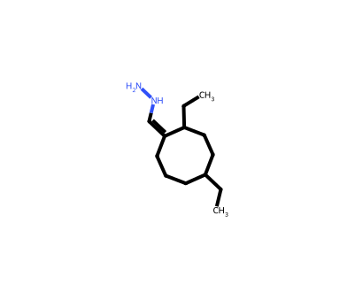 CCC1CCC/C(=C/NN)C(CC)CC1